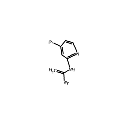 C=C(Nc1cc(C(C)C)ccn1)C(C)C